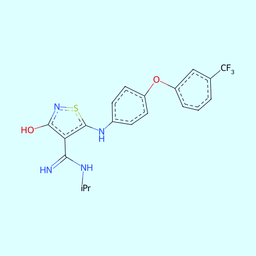 CC(C)NC(=N)c1c(O)nsc1Nc1ccc(Oc2cccc(C(F)(F)F)c2)cc1